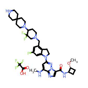 CNc1cc(N2CCc3c(CN4CCC(N5CCC6(CCNCC6)CC5)C(F)(F)C4)cc(F)cc32)nn2c(C(=O)N[C@@H]3CC[C@H]3OC)cnc12.O=C(O)C(F)(F)F